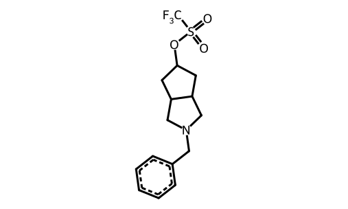 O=S(=O)(OC1CC2CN(Cc3ccccc3)CC2C1)C(F)(F)F